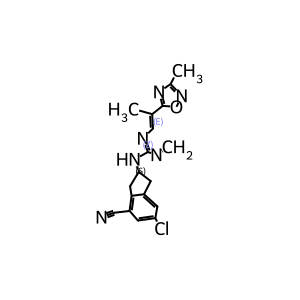 C=N/C(=N\C=C(/C)c1nc(C)no1)N[C@H]1Cc2cc(Cl)cc(C#N)c2C1